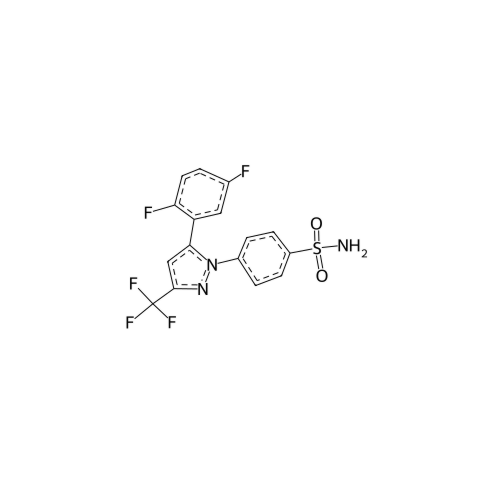 NS(=O)(=O)c1ccc(-n2nc(C(F)(F)F)cc2-c2cc(F)ccc2F)cc1